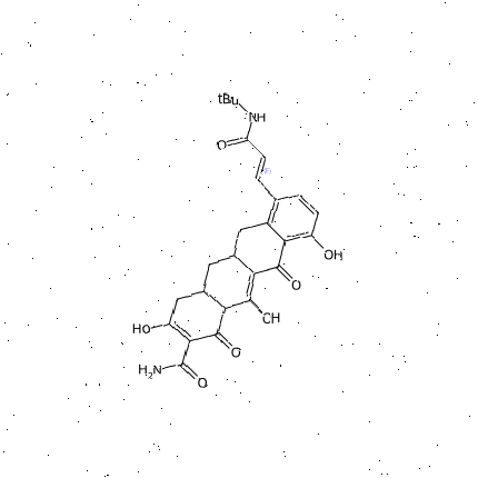 CC(C)(C)NC(=O)/C=C/c1ccc(O)c2c1CC1CC3CC(O)=C(C(N)=O)C(=O)C3C(O)=C1C2=O